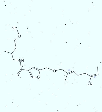 C/C=C(/C#N)CC/C=C(\C)COCc1cc(C(=O)NCC(C)CCOCCC)no1